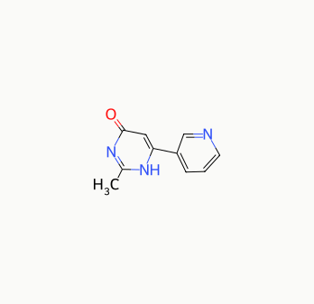 Cc1nc(=O)cc(-c2cccnc2)[nH]1